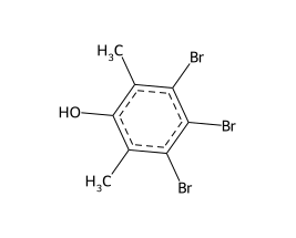 Cc1c(O)c(C)c(Br)c(Br)c1Br